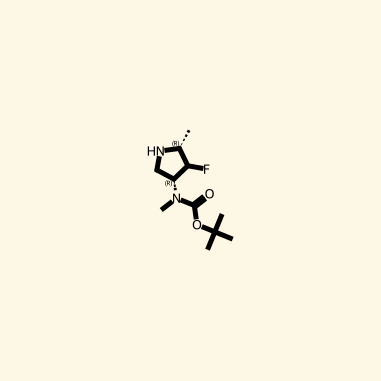 C[C@H]1NC[C@@H](N(C)C(=O)OC(C)(C)C)C1F